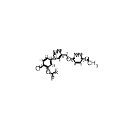 COc1ccc(OCc2cn(-c3ccc(Cl)c(OC(F)F)c3)nn2)nn1